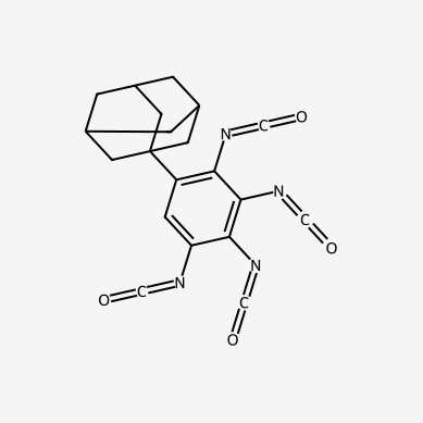 O=C=Nc1cc(C23CC4CC(CC(C4)C2)C3)c(N=C=O)c(N=C=O)c1N=C=O